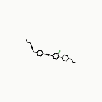 CCCC#CCc1ccc(C#Cc2ccc(C3CCC(CCC)CC3)c(F)c2)cc1